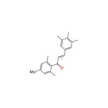 Cc1cc(/C=C/C(=O)c2c(C)c[c]([Mo])cc2C)cc(C)c1C